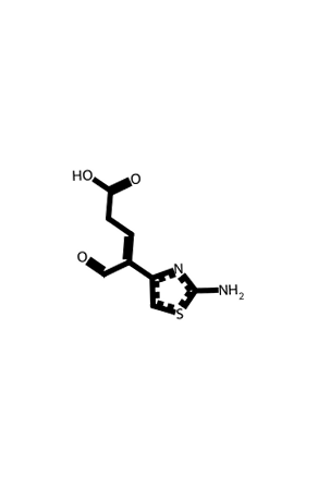 Nc1nc(C([C]=O)=CCC(=O)O)cs1